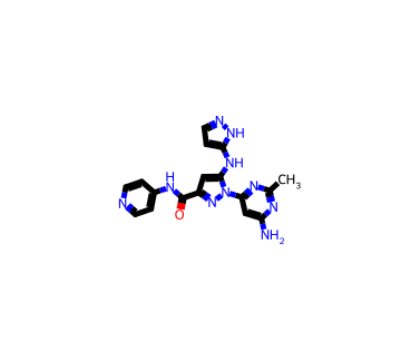 Cc1nc(N)cc(-n2nc(C(=O)Nc3ccncc3)cc2Nc2ccn[nH]2)n1